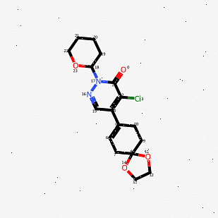 O=c1c(Cl)c(C2=CCC3(CC2)OCCO3)cnn1C1CCCCO1